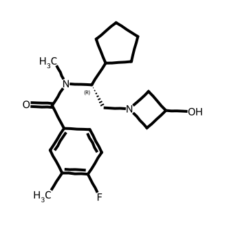 Cc1cc(C(=O)N(C)[C@@H](CN2CC(O)C2)C2CCCC2)ccc1F